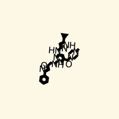 CN1CCN(C(=O)c2cc(Nc3cc(C4CC4)[nH]n3)nc(NCc3cc(-c4ccccc4)no3)n2)CC1